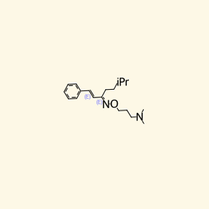 CC(C)CCC(/C=C/c1ccccc1)=N\OCCCN(C)C